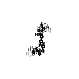 COC(=O)N[C@H](C(=O)N1CCC[C@H]1C1=NC2C=CC(c3ccc4c(=O)c5cc(C6CN=C([C@@H]7CCCN7C(=O)[C@@H](NC(=O)OC)[C@@H](C)OC)N6)ccc5oc4c3)=CC2N1)C(C)C